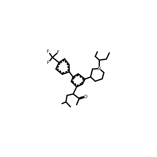 CCC(CC)N1CCCC(c2cc(-c3ccc(C(F)(F)F)cc3)cc(C(CC(C)C)C(C)=O)c2)C1